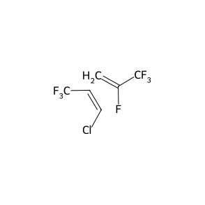 C=C(F)C(F)(F)F.FC(F)(F)/C=C\Cl